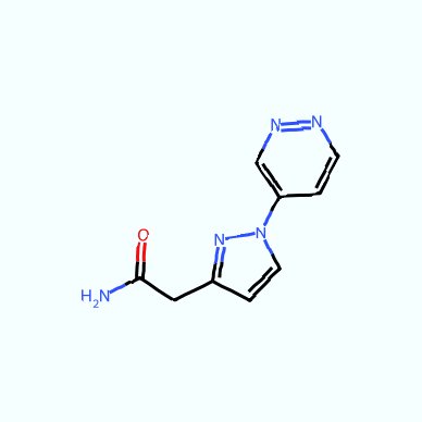 NC(=O)Cc1ccn(-c2ccnnc2)n1